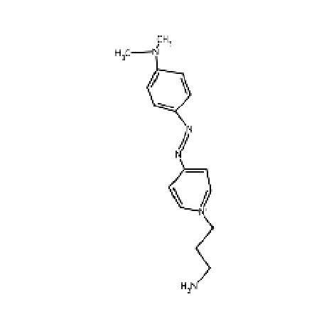 CN(C)c1ccc(/N=N/c2cc[n+](CCCN)cc2)cc1